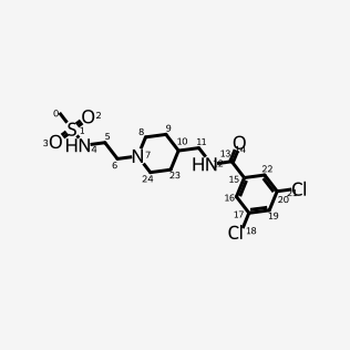 CS(=O)(=O)NCCN1CCC(CNC(=O)c2cc(Cl)cc(Cl)c2)CC1